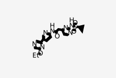 CCOc1cncc(-c2ccc(NC(=O)Cc3ccnc(NS(=O)(=O)C4CC4)n3)nc2)n1